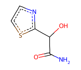 NC(=O)C(O)c1nccs1